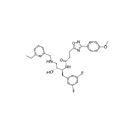 CCc1cccc(CNC[C@@H](O)[C@H](Cc2cc(F)cc(F)c2)NC(=O)CCc2nc(-c3ccc(OC)cc3)no2)c1